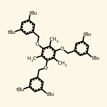 Cc1c(OCc2cc(C(C)(C)C)cc(C(C)(C)C)c2)c(C)c(OCc2cc(C(C)(C)C)cc(C(C)(C)C)c2)c(C)c1OCc1cc(C(C)(C)C)cc(C(C)(C)C)c1